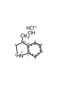 CN1CCNc2ccccc21.Cl.Cl